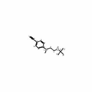 C#Cc1ccc(N(C)CCOC(C)(C)C)cc1